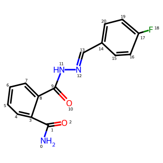 NC(=O)c1ccccc1C(=O)NN=Cc1ccc(F)cc1